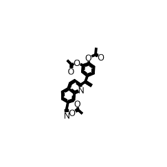 C=C(c1ccc(OC(C)=O)c(OC(C)=O)c1)c1ccc2ccc(C#N)c(OC(C)=O)c2n1